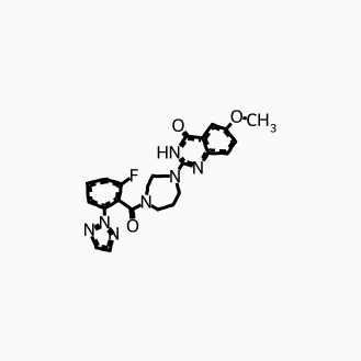 COc1ccc2nc(N3CCCN(C(=O)c4c(F)cccc4-n4nccn4)CC3)[nH]c(=O)c2c1